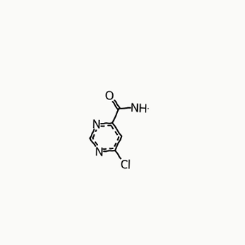 [NH]C(=O)c1cc(Cl)ncn1